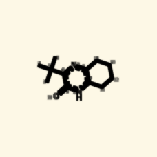 CC(C)(C)c1nc2c([nH]c1=O)CCCC2